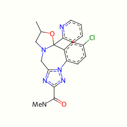 CNC(=O)c1nc2n(n1)-c1ccc(Cl)cc1C1(c3ccccn3)OC(C)CN1C2